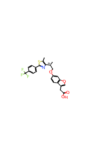 Cc1sc(-c2ccc(C(F)(F)F)cc2)nc1[C@@H](C)COc1ccc2c(CC(=O)O)coc2c1